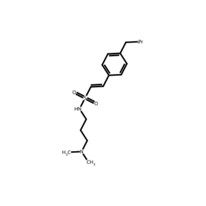 CC(C)Cc1ccc(C=CS(=O)(=O)NCCCN(C)C)cc1